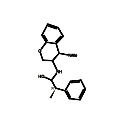 CNC1c2ccccc2OCC1NC(O)[C@@H](C)c1ccccc1